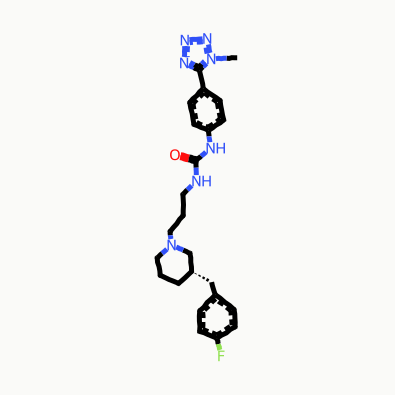 Cn1nnnc1-c1ccc(NC(=O)NCCCN2CCC[C@@H](Cc3ccc(F)cc3)C2)cc1